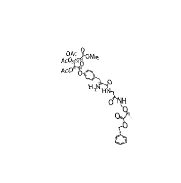 COC(=O)[C@H]1O[C@@H](Oc2ccc(C[C@H](N)C(=O)NCC(=O)NCO[C@H](C)C(=O)OCc3ccccc3)cc2)[C@H](OC(C)=O)[C@@H](OC(C)=O)[C@@H]1OC(C)=O